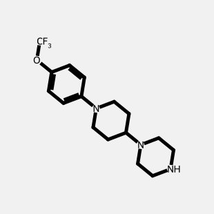 FC(F)(F)Oc1ccc(N2CCC(N3CCNCC3)CC2)cc1